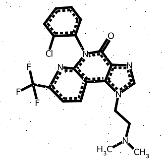 CN(C)CCn1cnc2c(=O)n(-c3ccccc3Cl)c3nc(C(F)(F)F)ccc3c21